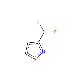 FC(F)c1ccsn1